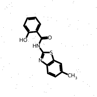 Cc1ccc2nc(NC(=O)c3ccccc3O)sc2c1